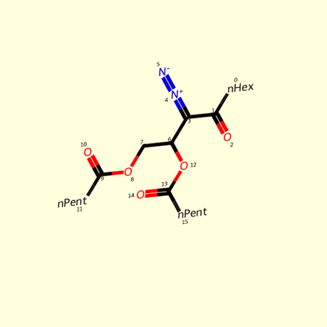 CCCCCCC(=O)C(=[N+]=[N-])C(COC(=O)CCCCC)OC(=O)CCCCC